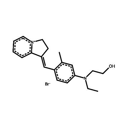 CCN(CCO)c1ccc(C=C2CC[n+]3ccccc32)c(C)c1.[Br-]